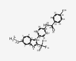 COc1ccc2c(c1)nc(C(F)(F)F)n2-c1cnc(NC(=O)c2ccc(F)cc2)cn1